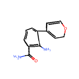 NC(=O)c1cccc(C2=CCOC=C2)c1N